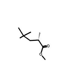 COC(=O)[C@@H](C)CC(C)(C)C